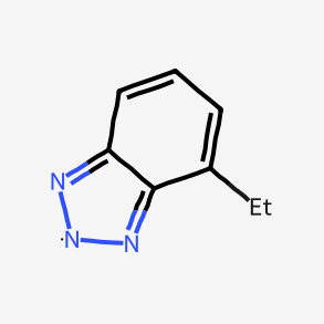 CCc1cccc2c1=N[N]N=2